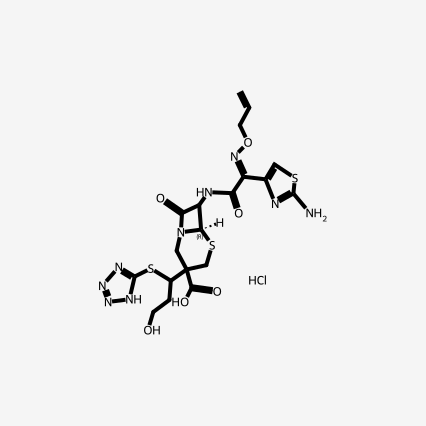 C=CCON=C(C(=O)NC1C(=O)N2CC(C(=O)O)(C(CCO)Sc3nnn[nH]3)CS[C@H]12)c1csc(N)n1.Cl